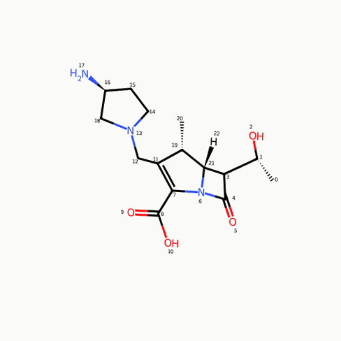 C[C@@H](O)C1C(=O)N2C(C(=O)O)=C(CN3CC[C@H](N)C3)[C@H](C)[C@H]12